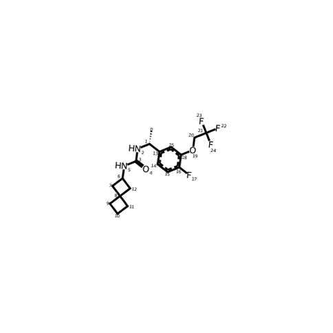 C[C@@H](NC(=O)NC1CC2(CCC2)C1)c1ccc(F)c(OCC(F)(F)F)c1